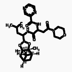 CC(C)CC(NC(=O)C(CC(=O)N1CCOCC1)NC(=O)c1cnccn1)B1O[C@@H]2C[C@@H]3C[C@@H](C3(C)C)[C@]2(C)O1